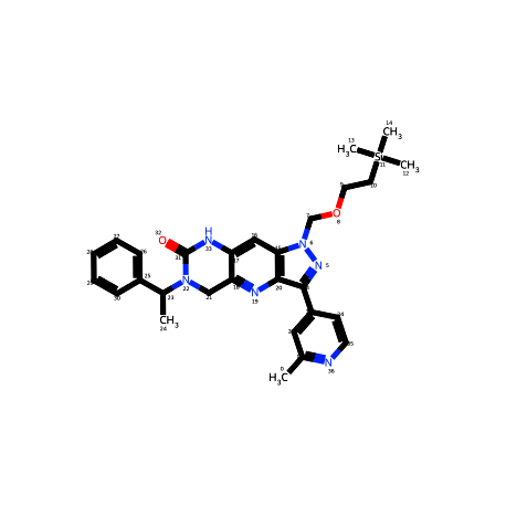 Cc1cc(-c2nn(COCC[Si](C)(C)C)c3cc4c(nc23)CN(C(C)c2ccccc2)C(=O)N4)ccn1